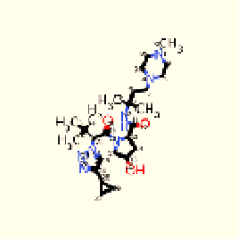 CN1CCN(CCC(C)(C)NC(=O)C2CC(O)CN2C(=O)[C@@H](n2cc(C3CC3)nn2)C(C)(C)C)CC1